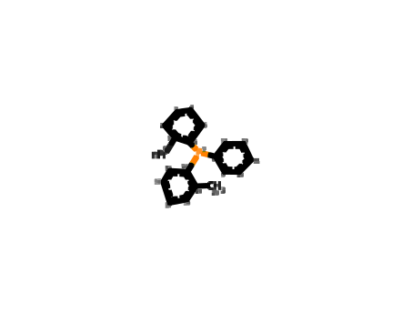 CCCc1ccccc1P(c1ccccc1)c1ccccc1C